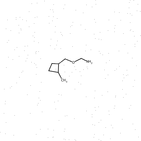 CC1CCC1COCN